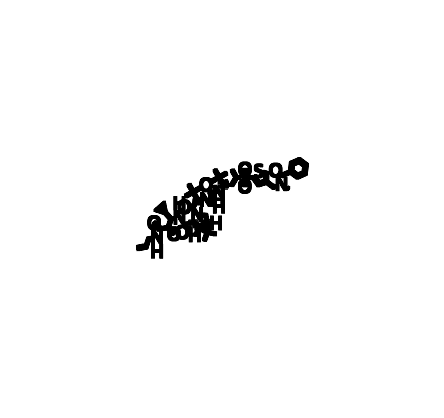 C=CCNC(=O)C(=O)C(NC(=O)[C@@H]1[C@@H]2[C@H](CN1C(=O)[C@@H](NC(=O)N[C@H](CC(C)S(=O)(=O)c1cc(CN(C)C(=O)c3ccccc3)cs1)C(C)(C)C)C(C)(C)C)C2(C)C)C1CC1